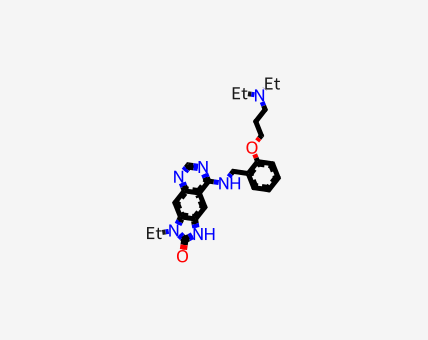 CCN(CC)CCCOc1ccccc1CNc1ncnc2cc3c(cc12)[nH]c(=O)n3CC